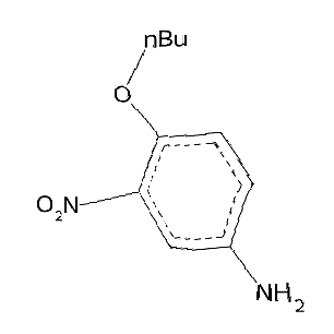 CCCCOc1ccc(N)cc1[N+](=O)[O-]